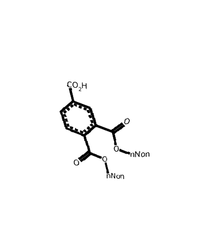 CCCCCCCCCOC(=O)c1ccc(C(=O)O)cc1C(=O)OCCCCCCCCC